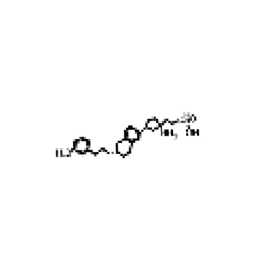 Bc1cccc(CCC[C@H]2CCc3cc([C@H]4CC[C@](N)(CCO[PH](=O)O)C4)ccc3C2)c1